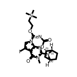 CNC(=O)O[C@H]1C[C@H]2CC[C@@H]1N2c1nc2c(c(I)cn2COCC[Si](C)(C)C)c(=O)n1C